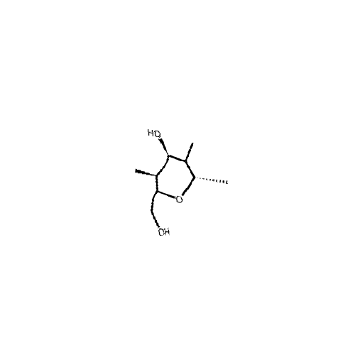 CC1[C@H](C)OC(CO)[C@@H](C)[C@H]1O